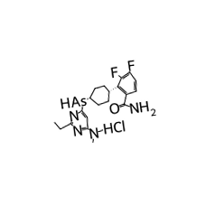 CCc1nc([AsH][C@H]2CC[C@@H](c3c(C(N)=O)ccc(F)c3F)CC2)cc(N(C)C)n1.Cl